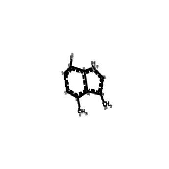 Cc1[c]cc(F)c2[nH]cc(C)c12